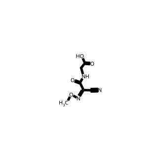 CON=C(C#N)C(=O)NCC(=O)O